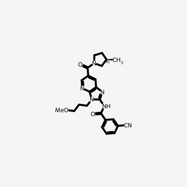 COCCCn1c(NC(=O)c2cccc(C#N)c2)nc2cc(C(=O)N3CC[C@@H](C)C3)cnc21